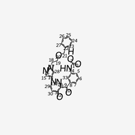 O=C(O)Nc1cccc(C(=O)c2nn(-c3cnn(CCOCc4ccccc4)c3)ccc2=O)c1